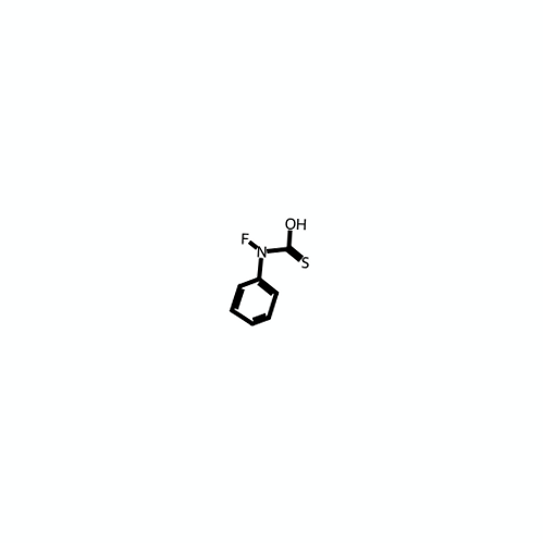 OC(=S)N(F)c1ccccc1